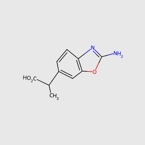 CC(C(=O)O)c1ccc2nc(N)oc2c1